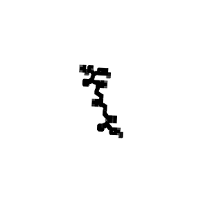 CC(=O)NCCNCCNC(=O)C(C)C